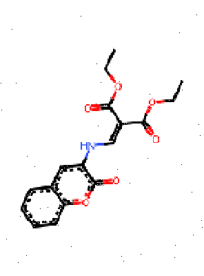 CCOC(=O)C(=CNc1cc2ccccc2oc1=O)C(=O)OCC